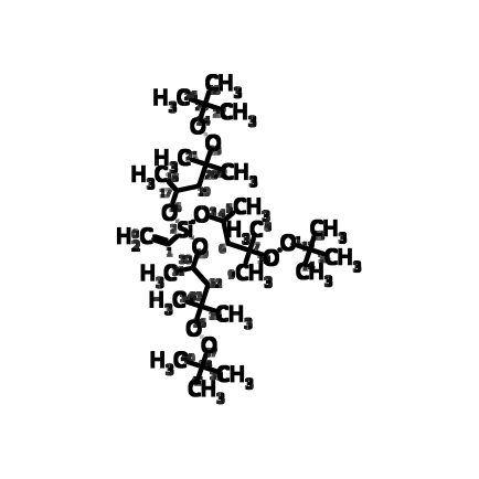 C=C[Si](OC(C)CC(C)(C)OOC(C)(C)C)(OC(C)CC(C)(C)OOC(C)(C)C)OC(C)CC(C)(C)OOC(C)(C)C